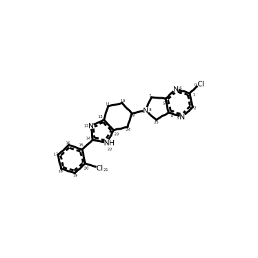 Clc1cnc2c(n1)CN(C1CCc3nc(-c4ccccc4Cl)[nH]c3C1)C2